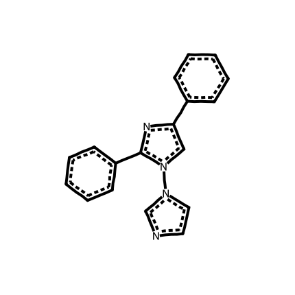 c1ccc(-c2cn(-n3ccnc3)c(-c3ccccc3)n2)cc1